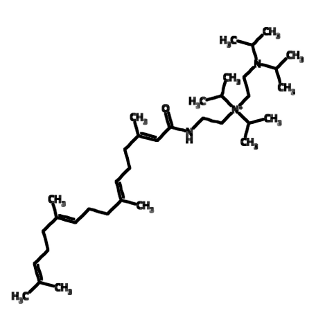 CC(C)=CCCC(C)=CCCC(C)=CCCC(C)=CC(=O)NCC[N+](CCN(C(C)C)C(C)C)(C(C)C)C(C)C